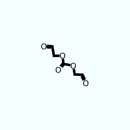 O=CCOC(=O)OCC=O